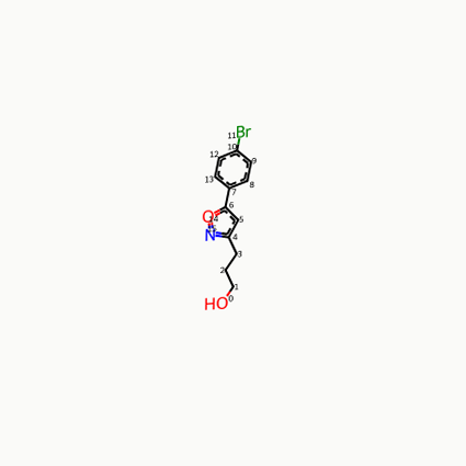 OCCCc1cc(-c2ccc(Br)cc2)on1